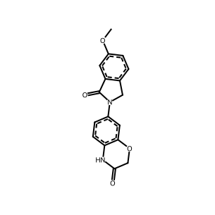 COc1ccc2c(c1)C(=O)N(c1ccc3c(c1)OCC(=O)N3)C2